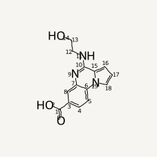 O=C(O)c1ccc2c(c1)nc(NCCO)c1cccn12